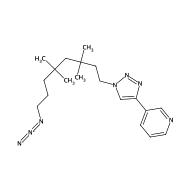 CC(C)(CCCN=[N+]=[N-])CC(C)(C)CCn1cc(-c2cccnc2)nn1